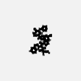 COC(=O)[C@H](Cc1ccccc1)NC(O)[C@@](C)(/C=C/[C@@H]1CCCN1C(=O)[C@@H](NC(=O)[C@H](C)N)[C@@H](C)OCc1ccccc1)Cc1cccc(Cl)c1